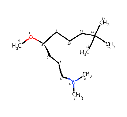 CO[C@H](CCCN(C)C)CCCC(C)(C)C